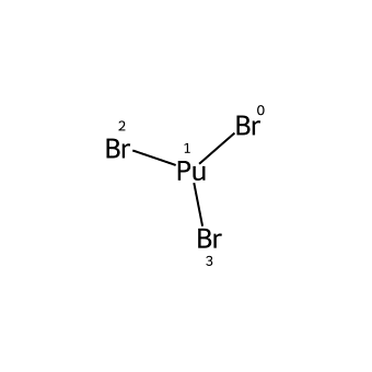 [Br][Pu]([Br])[Br]